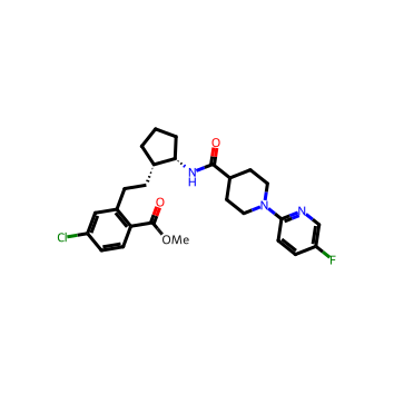 COC(=O)c1ccc(Cl)cc1CC[C@@H]1CCC[C@@H]1NC(=O)C1CCN(c2ccc(F)cn2)CC1